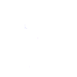 Cc1cc(C)c(CNC(C)c2ccc(I)cc2I)c(C)c1